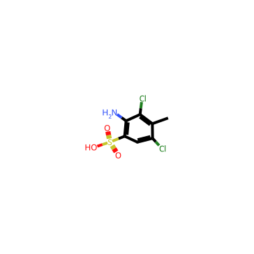 Cc1c(Cl)cc(S(=O)(=O)O)c(N)c1Cl